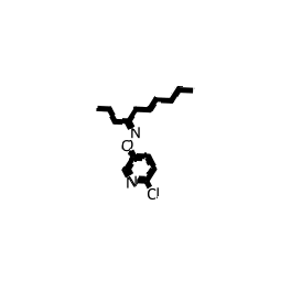 CCCCCC/C(CCC)=N/Oc1ccc(Cl)nc1